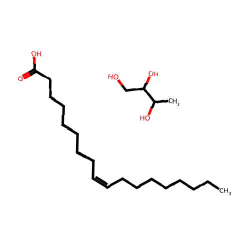 CC(O)C(O)CO.CCCCCCCC/C=C\CCCCCCCC(=O)O